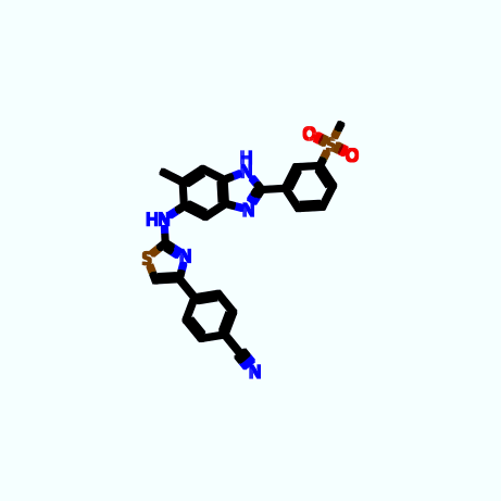 Cc1cc2[nH]c(-c3cccc(S(C)(=O)=O)c3)nc2cc1Nc1nc(-c2ccc(C#N)cc2)cs1